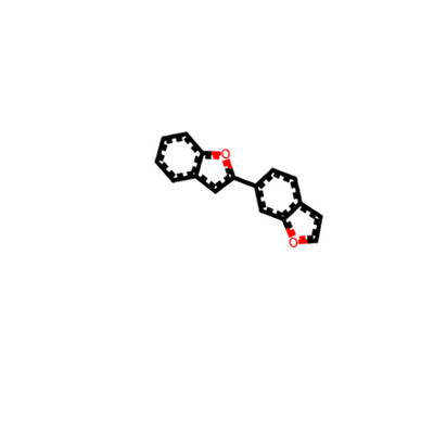 c1ccc2oc(-c3ccc4ccoc4c3)cc2c1